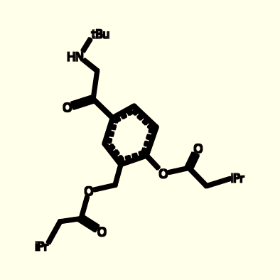 CC(C)CC(=O)OCc1cc(C(=O)CNC(C)(C)C)ccc1OC(=O)CC(C)C